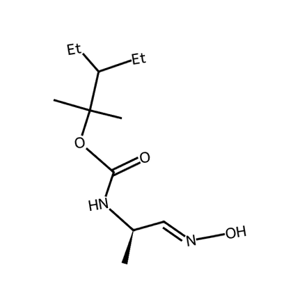 CCC(CC)C(C)(C)OC(=O)N[C@H](C)C=NO